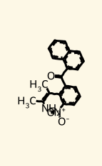 CC(N)=C(C)c1c(C(=O)c2cccc3ccccc23)cccc1[N+](=O)[O-]